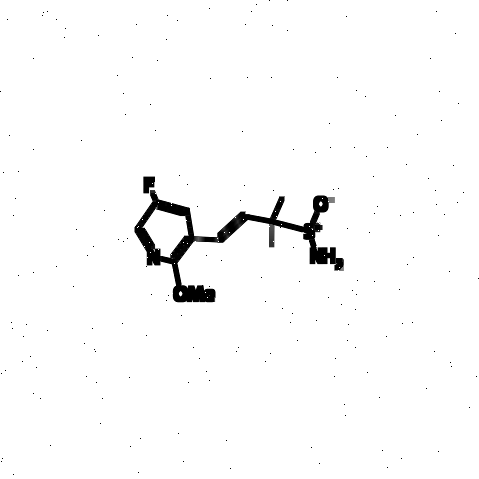 COc1ncc(F)cc1C=CC(C)(C)[S+](N)[O-]